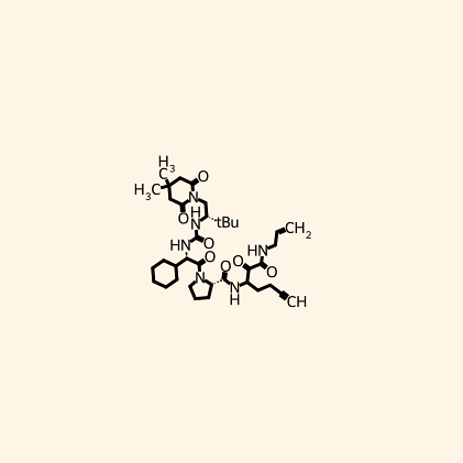 C#CCCC(NC(=O)[C@@H]1CCCN1C(=O)[C@@H](NC(=O)N[C@H](CN1C(=O)CC(C)(C)CC1=O)C(C)(C)C)C1CCCCC1)C(=O)C(=O)NCC=C